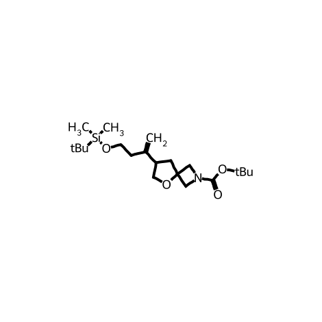 C=C(CCO[Si](C)(C)C(C)(C)C)C1COC2(C1)CN(C(=O)OC(C)(C)C)C2